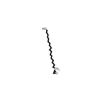 C1CO1.CCCCCCCCCCCCCCCCCCCO